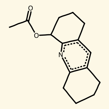 CC(=O)OC1CCCc2cc3c(nc21)CCCC3